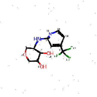 OC1COCC(Nc2cc(C(F)(F)F)ccn2)C1O